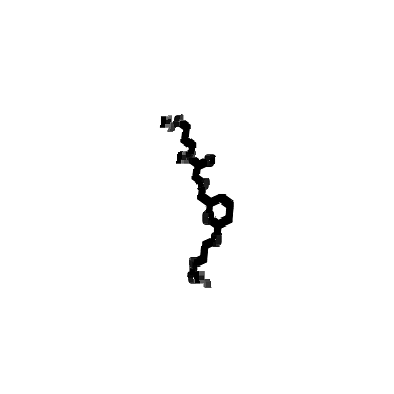 CCCCNC(=O)COCC1CCCC(OCCSC)O1